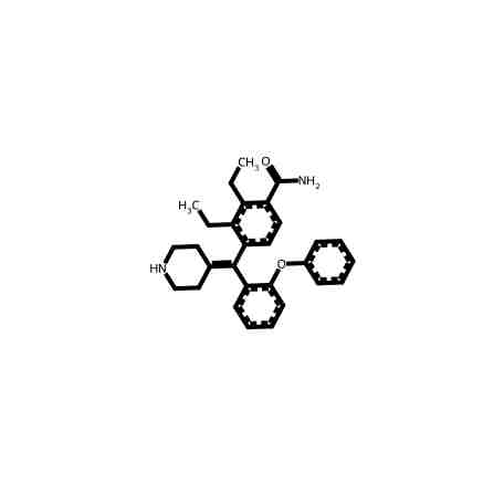 CCc1c(C(N)=O)ccc(C(=C2CCNCC2)c2ccccc2Oc2ccccc2)c1CC